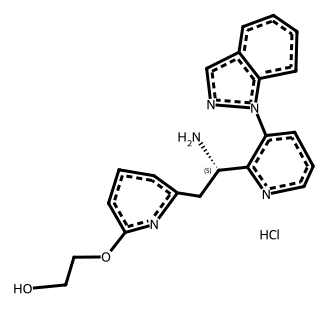 Cl.N[C@@H](Cc1cccc(OCCO)n1)c1ncccc1-n1ncc2ccccc21